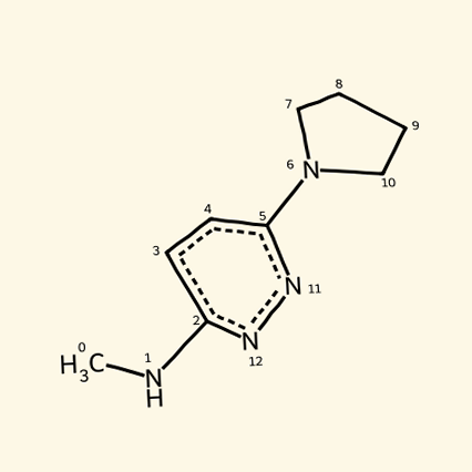 CNc1ccc(N2CCCC2)nn1